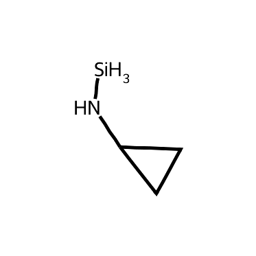 [SiH3]NC1CC1